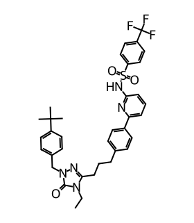 CCn1c(CCCc2ccc(-c3cccc(NS(=O)(=O)c4ccc(C(F)(F)F)cc4)n3)cc2)nn(Cc2ccc(C(C)(C)C)cc2)c1=O